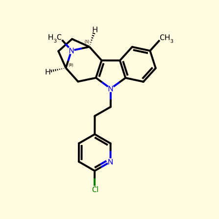 Cc1ccc2c(c1)c1c(n2CCc2ccc(Cl)nc2)C[C@H]2CC[C@@H]1N2C